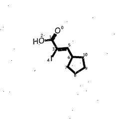 O=C(O)/C(I)=C/C1CCCC1